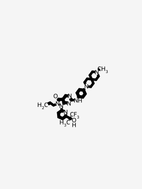 C=CCn1c(=O)c2cnc(Nc3ccc(N4CCC5(CCN(C)CC5)CC4)cc3)nc2n1-c1cccc([C@](C)(O)C(F)(F)F)n1